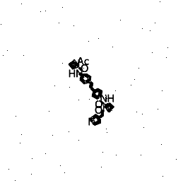 CC(=O)N1CC=C[C@H]1C(=O)Nc1ccc(/C=C/c2ccc(NC(=O)[C@@H]3C=CCN3C(=O)Cc3ccncc3)cc2)cc1